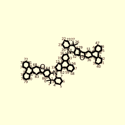 CC1(C)c2ccccc2N(c2ccc3c4ccc(N5c6ccccc6C(C)(C)c6cc7c(cc65)oc5cc6c8ccccc8c8ccccc8c6cc57)cc4c4ccccc4c3c2)c2cc3oc4cc5c6ccccc6c6ccccc6c5cc4c3cc21